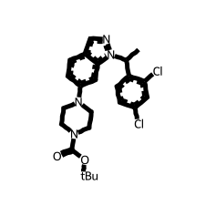 CC(c1ccc(Cl)cc1Cl)n1ncc2ccc(N3CCN(C(=O)OC(C)(C)C)CC3)cc21